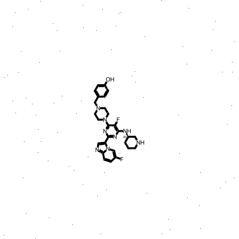 Oc1ccc(CN2CCN(c3nc(-c4cnc5ccc(F)cn45)nc(N[C@@H]4CCCNC4)c3F)CC2)cc1